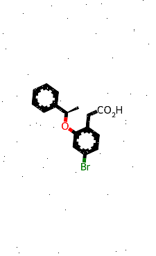 C[C@@H](Oc1cc(Br)ccc1CC(=O)O)c1ccccc1